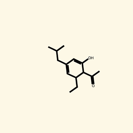 CCC1C=C(CC(C)C)C=C(O)C1C(C)=O